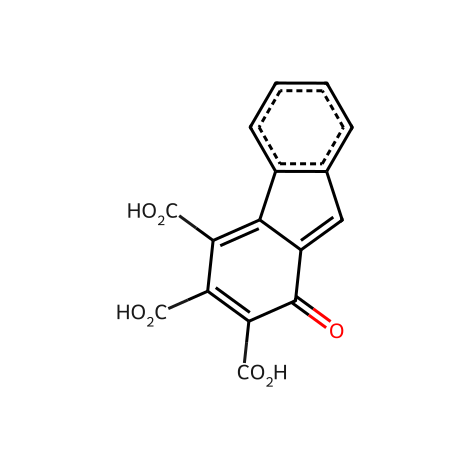 O=C(O)C1=C(C(=O)O)C(C(=O)O)=C2C(=Cc3ccccc32)C1=O